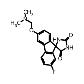 CN(C)COc1ccc2c(c1)-c1ccc(F)cc1C21NC(=O)NC1=O